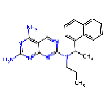 CCCN(c1ncc2c(N)nc(N)nc2n1)C(C)c1cccc2ccccc12